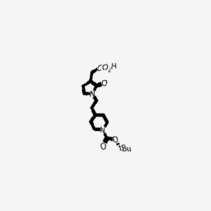 CC(C)(C)OC(=O)N1CCC(CCN2CCC(CC(=O)O)C2=O)CC1